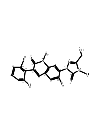 CCn1c(CO)nn(-c2cc3c(cc2F)cc(-c2c(F)cccc2Cl)c(=O)n3C(C)C)c1=O